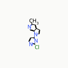 Cc1cc2ccn(-c3ccnc(Cl)n3)c2cn1